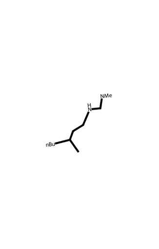 CCCCC(C)CCNCNC